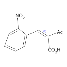 CC(=O)/C(=C/c1ccccc1[N+](=O)[O-])C(=O)O